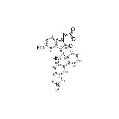 CCc1ccc2c(c1)C(=C(Nc1ccc(CN(C)C)cc1)c1ccccc1)C(=O)N2N=S(=O)=O